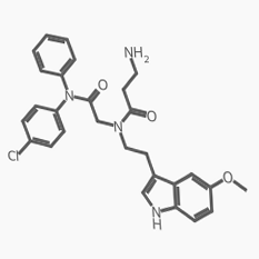 COc1ccc2[nH]cc(CCN(CC(=O)N(c3ccccc3)c3ccc(Cl)cc3)C(=O)CCN)c2c1